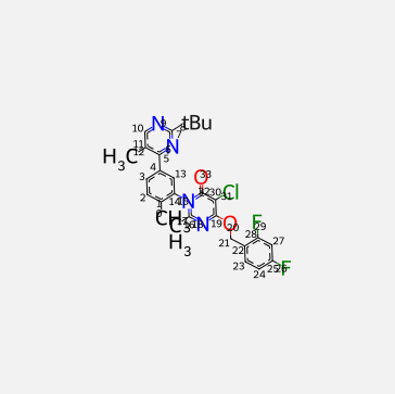 Cc1ccc(-c2nc(C(C)(C)C)ncc2C)cc1-n1c(C)nc(OCc2ccc(F)cc2F)c(Cl)c1=O